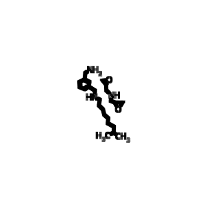 C(NCC1CO1)C1CO1.CC(C)CCCCCCCNCc1cccc(CN)c1